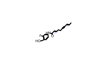 C/C=C/C#CCC/C=C/C(=O)Nc1ccc(CO)c(F)c1